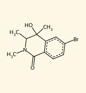 CC1N(C)C(=O)c2ccc(Br)cc2C1(C)O